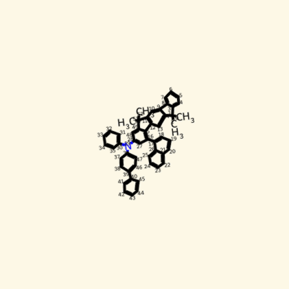 CC1(C)c2ccccc2-c2cc3c(cc21)-c1c(-c2cccc4ccccc24)cc(N(c2ccccc2)c2ccc(-c4ccccc4)cc2)cc1C3(C)C